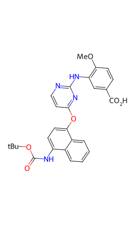 COc1ccc(C(=O)O)cc1Nc1nccc(Oc2ccc(NC(=O)OC(C)(C)C)c3ccccc23)n1